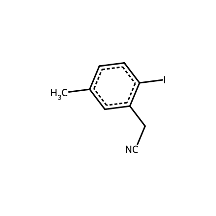 Cc1ccc(I)c(CC#N)c1